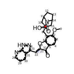 COc1ccc2c(c1CN1CC3CCC(C1)N3C(=O)O)O/C(=C\c1n[nH]c3ncccc13)C2=O